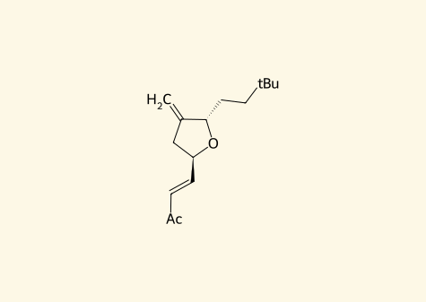 C=C1C[C@H](C=CC(C)=O)O[C@H]1CCC(C)(C)C